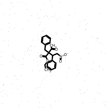 CCOC(=O)C(Cc1ccccc1)(C(C)=O)C(C[N+](=O)[O-])c1ccccc1